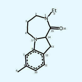 CCN1CCCN2c3cc(C)ccc3CC2C1=O